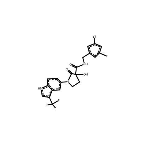 O=C(NCc1cc(F)cc(Cl)c1)C1(O)CCN(c2ccc3[nH]cc(C(F)(F)F)c3c2)C1=O